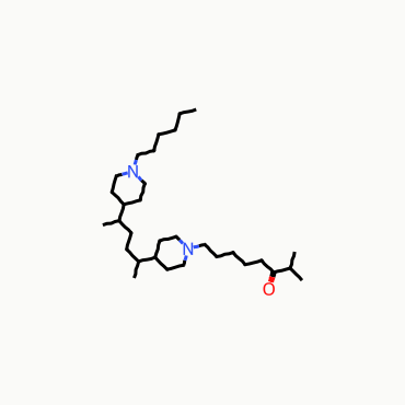 CCCCCCN1CCC(C(C)CCC(C)C2CCN(CCCCCC(=O)C(C)C)CC2)CC1